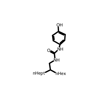 CCCCCCCC(CCCCCC)CNC(=O)Nc1ccc(O)cc1